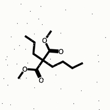 CCCCC(CCC)(C(=O)OC)C(=O)OC